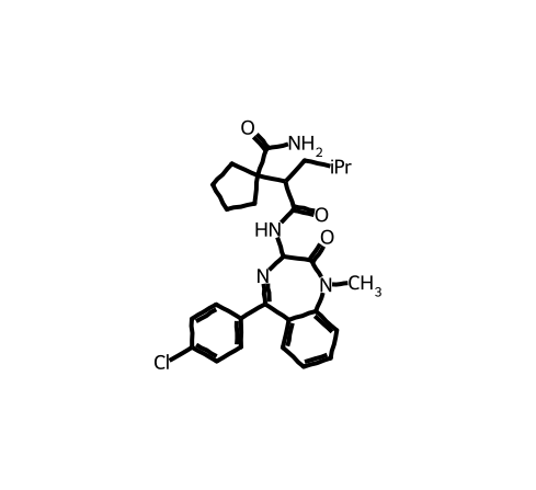 CC(C)CC(C(=O)NC1N=C(c2ccc(Cl)cc2)c2ccccc2N(C)C1=O)C1(C(N)=O)CCCC1